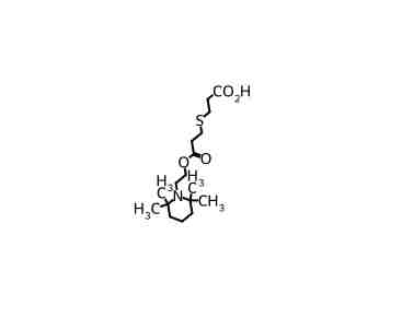 CC1(C)CCCC(C)(C)N1CCOC(=O)CCSCCC(=O)O